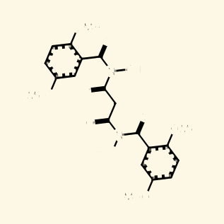 COc1ccc(OC)c(C(=S)N(C)C(=O)CC(=O)N(C)C(=S)c2cc(OC)ccc2OC)c1